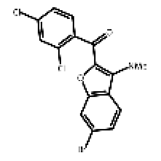 CNc1c(C(=O)c2ccc(Cl)cc2Cl)oc2cc(Br)ccc12